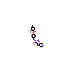 Cc1ccc(S(=O)(=O)c2ccc(CNC(=O)c3cc4ccncc4s3)cc2)c(Cl)c1